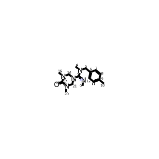 C/N=C(/N(C)Cc1ccc(C)cc1)N1CN(C)C(=O)N(C)C1